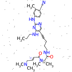 CCCNc1nc(Nc2ccc(C#N)c(C)c2)ncc1C#CCCCNC(=O)[C@H](C)N(C)C(=O)/C=C/CN(C)C